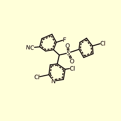 N#Cc1ccc(F)c(C(c2cc(Cl)ncc2Cl)S(=O)(=O)c2ccc(Cl)cc2)c1